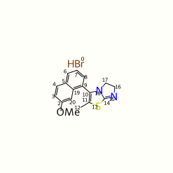 Br.COc1ccc2cccc(C3=C(C)SC4=NCCN43)c2c1